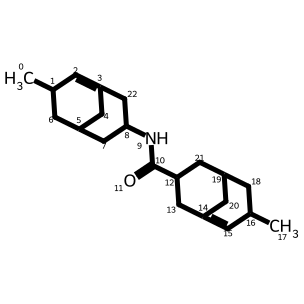 CC1C=C2CC(C1)CC(NC(=O)C1CC3=CC(C)CC(C3)C1)C2